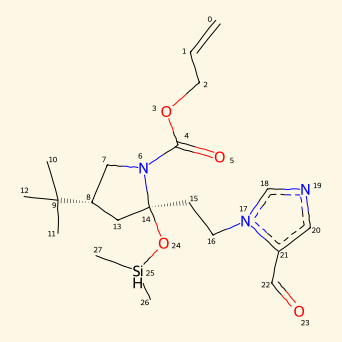 C=CCOC(=O)N1C[C@@H](C(C)(C)C)C[C@]1(CCn1cncc1C=O)O[SiH](C)C